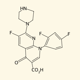 O=C(O)c1cn(-c2ccc(F)cc2F)c2nc(N3CCNCC3)c(F)cc2c1=O